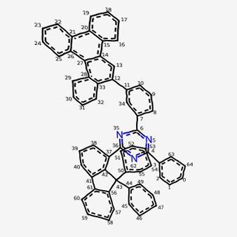 c1ccc(-c2nc(-c3cccc(-c4cc5c6ccccc6c6ccccc6c5c5ccccc45)c3)nc(-c3cccc4c3C(c3ccccc3)(c3ccccc3)c3ccccc3-4)n2)cc1